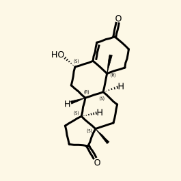 C[C@]12CCC(=O)C=C1[C@@H](O)C[C@@H]1[C@@H]2CC[C@]2(C)C(=O)CC[C@@H]12